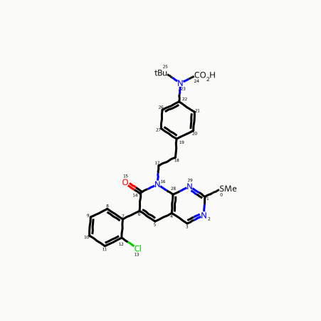 CSc1ncc2cc(-c3ccccc3Cl)c(=O)n(CCc3ccc(N(C(=O)O)C(C)(C)C)cc3)c2n1